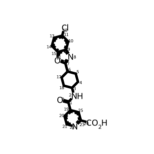 O=C(NC1CCC(c2nc3cc(Cl)ccc3o2)CC1)c1ccnc(C(=O)O)c1